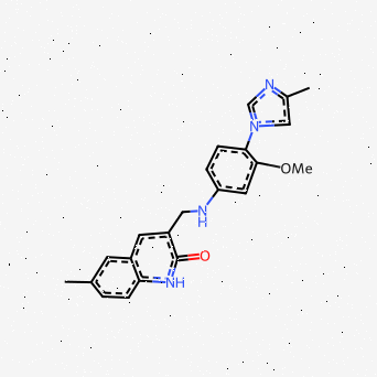 COc1cc(NCc2cc3cc(C)ccc3[nH]c2=O)ccc1-n1cnc(C)c1